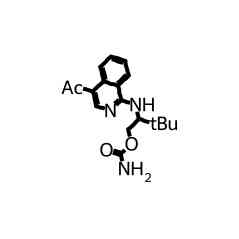 CC(=O)c1cnc(NC(COC(N)=O)C(C)(C)C)c2ccccc12